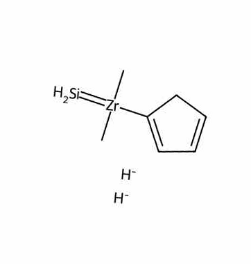 [CH3][Zr]([CH3])(=[SiH2])[C]1=CC=CC1.[H-].[H-]